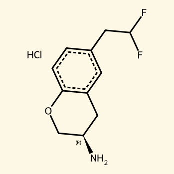 Cl.N[C@H]1COc2ccc(CC(F)F)cc2C1